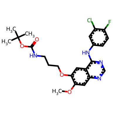 COc1cc2ncnc(Nc3ccc(F)c(Cl)c3)c2cc1OCCCNC(=O)OC(C)(C)C